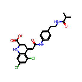 CC(C)C(=O)NCCc1ccc(NC(=O)/C=C2\CC(C(=O)O)Nc3cc(Cl)cc(Cl)c32)cc1